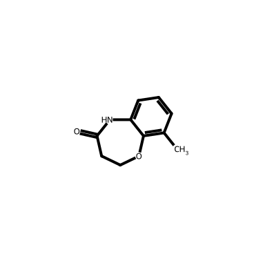 Cc1cccc2c1OCCC(=O)N2